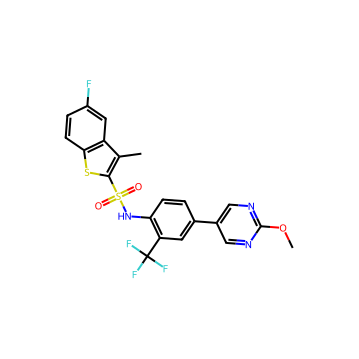 COc1ncc(-c2ccc(NS(=O)(=O)c3sc4ccc(F)cc4c3C)c(C(F)(F)F)c2)cn1